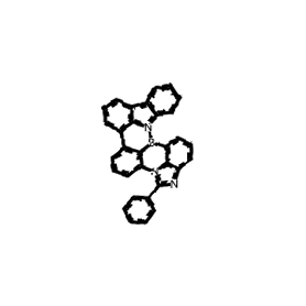 c1ccc(-c2nc3cccc4c3n2-c2cccc3c2B4n2c4ccccc4c4cccc-3c42)cc1